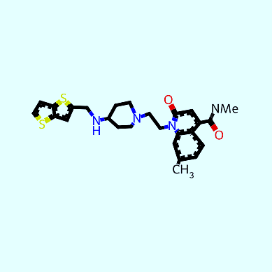 CNC(=O)c1cc(=O)n(CCN2CCC(NCc3cc4sccc4s3)CC2)c2cc(C)ccc12